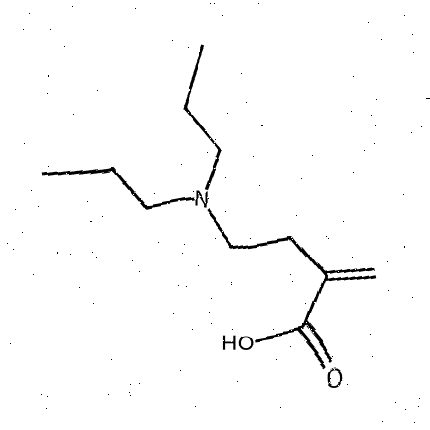 C=C(CCN(CCC)CCC)C(=O)O